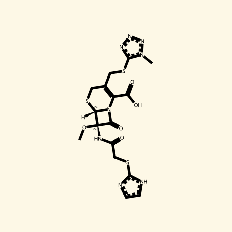 CO[C@@]1(NC(=O)CSc2ncc[nH]2)C(=O)N2C(C(=O)O)=C(CSc3nnnn3C)CS[C@H]21